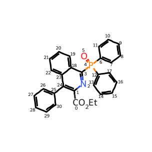 CCOC(=O)c1nc(P(=O)(c2ccccc2)c2ccccc2)c2ccccc2c1-c1ccccc1